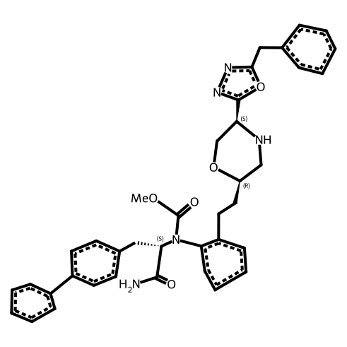 COC(=O)N(c1ccccc1CC[C@@H]1CN[C@H](c2nnc(Cc3ccccc3)o2)CO1)[C@@H](Cc1ccc(-c2ccccc2)cc1)C(N)=O